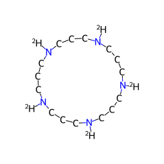 [2H]N1CCCN([2H])CCCN([2H])CCCN([2H])CCCN([2H])CCC1